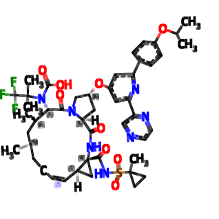 CC(C)Oc1ccc(-c2cc(O[C@@H]3C[C@H]4C(=O)N[C@]5(C(=O)NS(=O)(=O)C6(C)CC6)C[C@H]5/C=C\CC[C@H](C)C[C@@H](C)[C@H](N(C(=O)O)C(C)(C)C(F)(F)F)C(=O)N4C3)cc(-c3cnccn3)n2)cc1